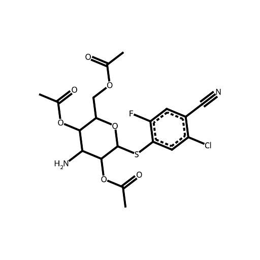 CC(=O)OCC1OC(Sc2cc(Cl)c(C#N)cc2F)C(OC(C)=O)C(N)C1OC(C)=O